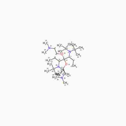 CCC(N([Si](C)(C)C)[Si](C)(C)C)[Si](OCCN(C)C)(OCCN(C)C)C(CC)N([Si](C)(C)C)[Si](C)(C)C